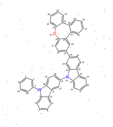 c1ccc(-n2c3ccccc3c3cc(-n4c5ccccc5c5ccc(-c6ccc7c(c6)-c6ccccc6-c6ccccc6O7)cc54)ccc32)cc1